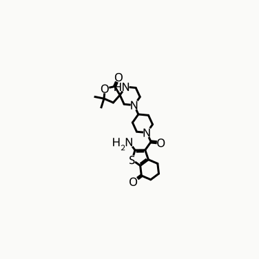 CC1(C)CC2(CN(C3CCN(C(=O)c4c(N)sc5c4CCCC5=O)CC3)CCN2)C(=O)O1